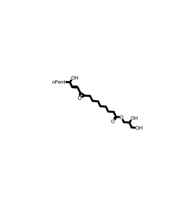 CCCCCC(O)/C=C/C1OC1CCCCCCCC(=O)OCC(O)CO